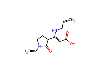 C=CCNC(=CC(=O)O)C1CCN(C=C)C1=O